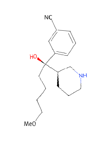 COCCCC[C@](O)(c1cccc(C#N)c1)[C@@H]1CCCNC1